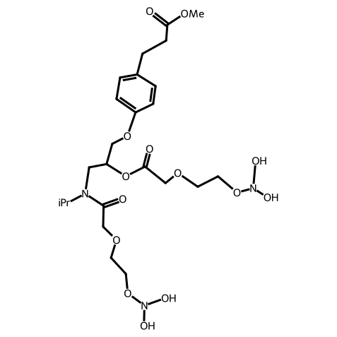 COC(=O)CCc1ccc(OCC(CN(C(=O)COCCON(O)O)C(C)C)OC(=O)COCCON(O)O)cc1